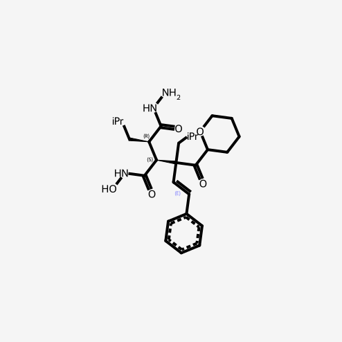 CC(C)C[C@@H](C(=O)NN)[C@H](C(=O)NO)C(/C=C/c1ccccc1)(CC(C)C)C(=O)C1CCCCO1